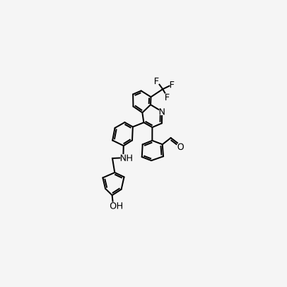 O=Cc1ccccc1-c1cnc2c(C(F)(F)F)cccc2c1-c1cccc(NCc2ccc(O)cc2)c1